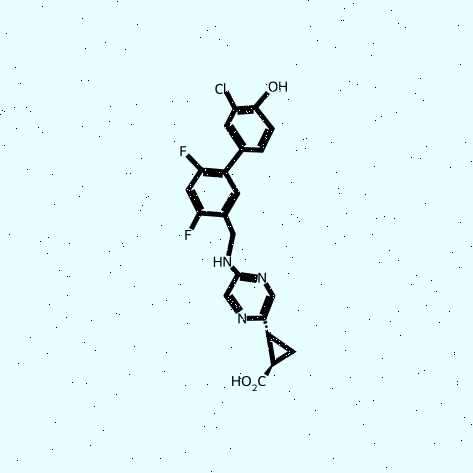 O=C(O)[C@@H]1C[C@H]1c1cnc(NCc2cc(-c3ccc(O)c(Cl)c3)c(F)cc2F)cn1